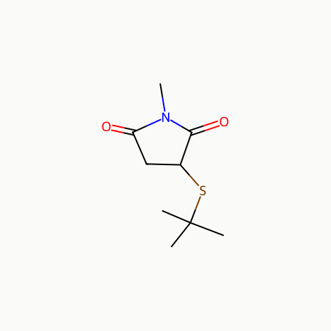 CN1C(=O)CC(SC(C)(C)C)C1=O